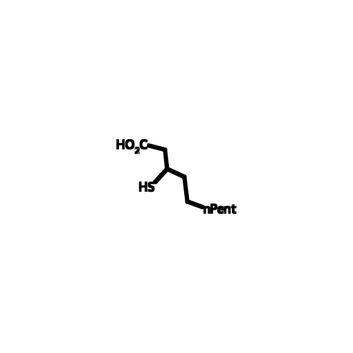 CCCCCCCC(S)CC(=O)O